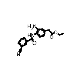 CCOC(=O)Cc1ccc(NC(=O)c2cccc(C#N)c2)c(N)c1